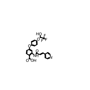 O=C(/C=C/c1ccncc1)Nc1cc(Oc2ccccc2)ccc1C(=O)O.O=C(O)C(F)(F)F